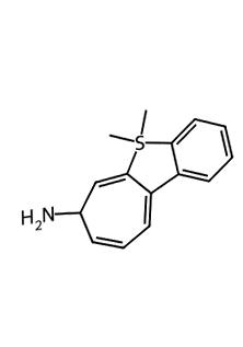 CS1(C)C2=CC(N)C=CC=C2c2ccccc21